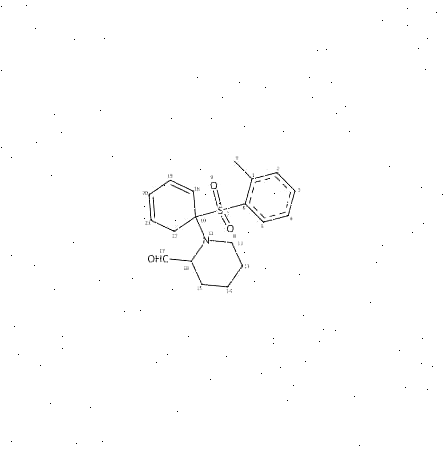 Cc1ccccc1S(=O)(=O)C1(N2CCCCC2C=O)C=CC=CC1